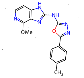 COc1nccc2[nH]c(Nc3nnc(-c4ccc(C)cc4)o3)nc12